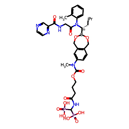 Cc1ccccc1N(C(=O)CNC(=O)c1cnccn1)[C@H](CC(C)C)B1OCc2ccc(N(C)C(=O)OCCCC(=O)NC(P(=O)(O)O)P(=O)(O)O)cc2CO1